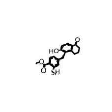 COC(=O)c1ccc(Cc2c(O)ccc3c2CCCC3=O)cc1S